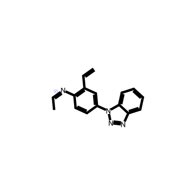 C=Cc1cc(-n2nnc3ccccc32)ccc1/N=C\C